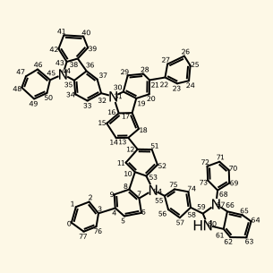 c1ccc(-c2ccc3c(c2)c2cc(-c4ccc5c(c4)c4cc(-c6ccccc6)ccc4n5-c4ccc5c(c4)c4ccccc4n5-c4ccccc4)ccc2n3-c2ccc(C3Nc4ccccc4N3c3ccccc3)cc2)cc1